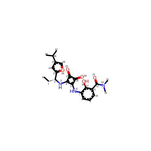 CC[C@@H](Nc1c(Nc2cccc(C(=O)N(C)C)c2O)c(=O)c1=O)c1cc(C(C)C)co1